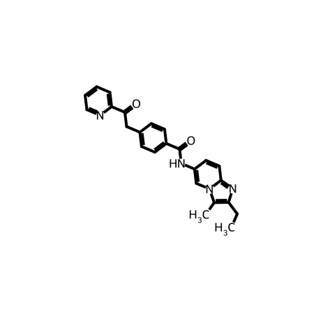 CCc1nc2ccc(NC(=O)c3ccc(CC(=O)c4ccccn4)cc3)cn2c1C